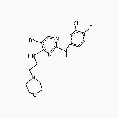 Fc1ccc(Nc2ncc(Br)c(NCCN3CCOCC3)n2)cc1Cl